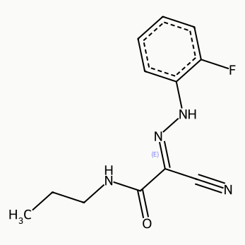 CCCNC(=O)/C(C#N)=N/Nc1ccccc1F